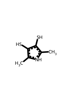 Cc1[nH]c(C)c(S)c1S